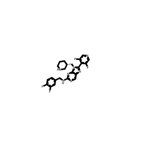 Fc1ccc(CNc2ncc3nc(-c4c(F)cncc4F)n(C[C@H]4CCCNC4)c3n2)cc1F